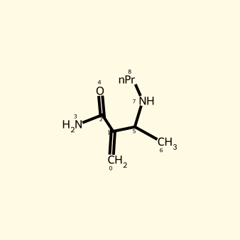 C=C(C(N)=O)C(C)NCCC